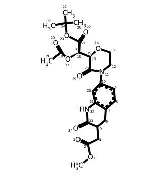 COC(=O)CC1Cc2ccc(N3CCO[C@H]([C@@H](OC(C)=O)C(=O)OC(C)(C)C)C3=O)cc2NC1=O